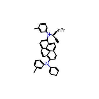 C#C/C(=C\CCC)N(c1cccc(C)c1)c1ccc2ccc3c(N(C4=CCCC=C4)c4cccc(C)c4)ccc4ccc1c2c43